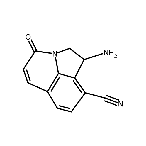 N#Cc1ccc2ccc(=O)n3c2c1C(N)C3